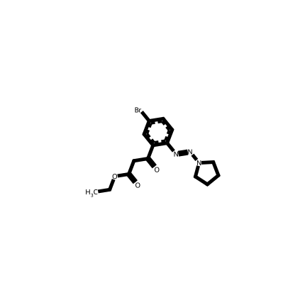 CCOC(=O)CC(=O)c1cc(Br)ccc1N=NN1CCCC1